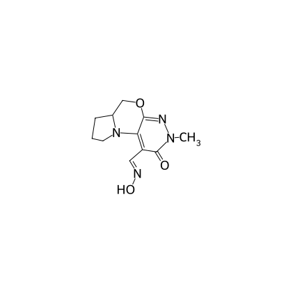 Cn1nc2c(c(C=NO)c1=O)N1CCCC1CO2